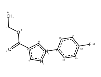 CCOC(=O)c1cnn(-c2ccc(F)cc2)c1